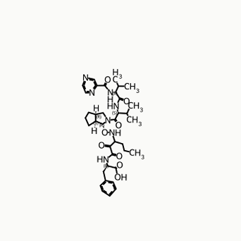 CCCC(NO[C@@H]1[C@H]2CCC[C@H]2CN1C(=O)[C@@H](NC(=O)[C@H](NC(=O)c1cnccn1)C(C)C)C(C)C)C(=O)C(=O)N[C@H](Cc1ccccc1)C(=O)O